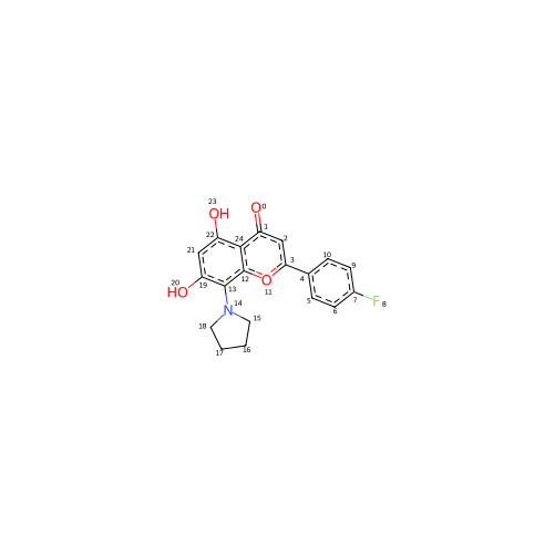 O=c1cc(-c2ccc(F)cc2)oc2c(N3CCCC3)c(O)cc(O)c12